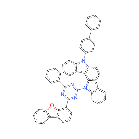 c1ccc(-c2ccc(-n3c4ccccc4c4c3ccc3c5ccccc5n(-c5nc(-c6ccccc6)nc(-c6cccc7c6oc6ccccc67)n5)c34)cc2)cc1